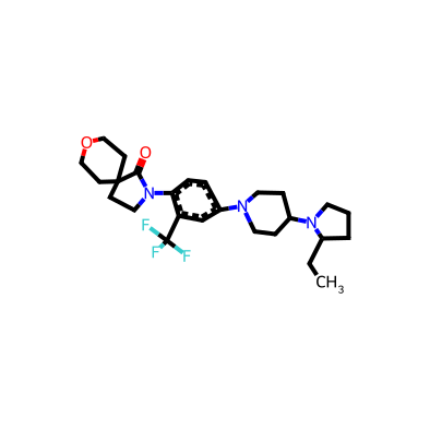 CCC1CCCN1C1CCN(c2ccc(N3CCC4(CCOCC4)C3=O)c(C(F)(F)F)c2)CC1